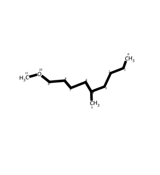 CCCCC(C)CCCCOC